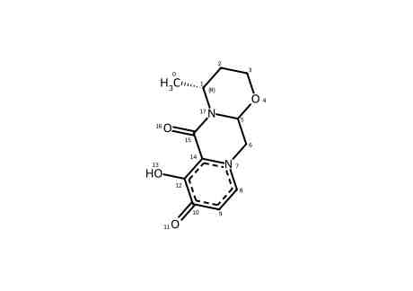 C[C@@H]1CCOC2Cn3ccc(=O)c(O)c3C(=O)N21